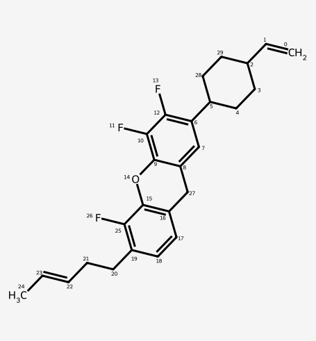 C=CC1CCC(c2cc3c(c(F)c2F)Oc2c(ccc(CC/C=C/C)c2F)C3)CC1